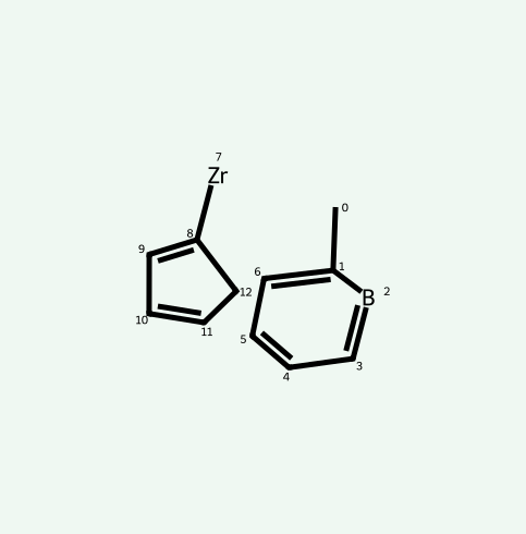 Cc1bcccc1.[Zr][C]1=CC=CC1